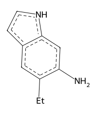 CCc1cc2cc[nH]c2cc1N